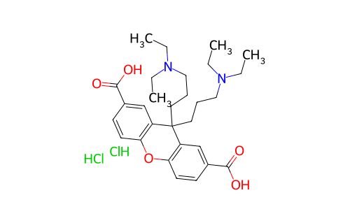 CCN(CC)CCCC1(CCCN(CC)CC)c2cc(C(=O)O)ccc2Oc2ccc(C(=O)O)cc21.Cl.Cl